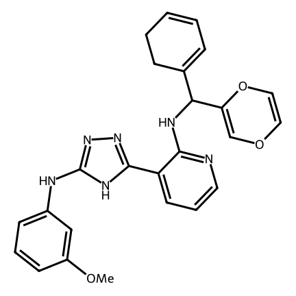 COc1cccc(Nc2nnc(-c3cccnc3NC(C3=CC=CCC3)C3=COC=CO3)[nH]2)c1